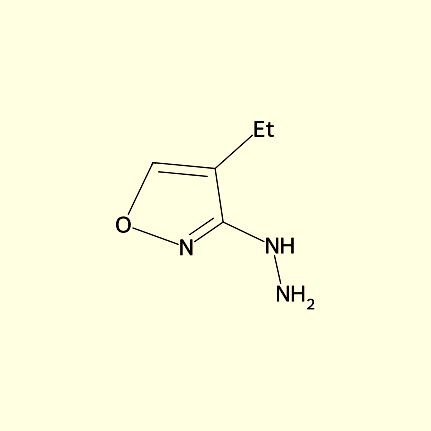 CCc1conc1NN